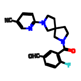 N#Cc1ccc(N2CCC3(CCN(C(=O)c4cc(C=O)ccc4F)C3)C2)nc1